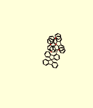 c1ccc(-c2ccccc2C2(c3ccccc3-c3ccccc3)c3ccccc3-c3cccc(N(c4cccc5c4-c4ccccc4C54c5ccccc5-c5ccccc54)c4cccc5c4sc4ccccc45)c32)cc1